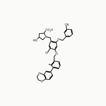 Cc1c(COc2cc(OCc3cccc(C#N)c3)c(CN3CC(O)CC3C(=O)O)cc2Cl)cccc1-c1ccc2c(c1)OCCO2